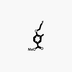 COC(=O)c1ccc(OCCF)c(C)c1